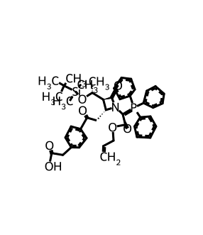 C=CCOC(=O)C(N1C(=O)[C@H]([C@@H](C)O[Si](C)(C)C(C)(C)C)[C@H]1CC(=O)c1ccc(CC(=O)O)cc1)=P(c1ccccc1)(c1ccccc1)c1ccccc1